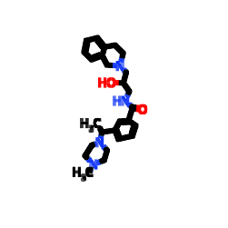 CC(c1cccc(C(=O)NCC(O)CN2CCc3ccccc3C2)c1)N1CCN(C)CC1